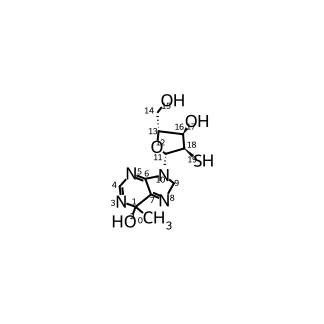 CC1(O)N=CN=C2C1=NCN2[C@@H]1O[C@H](CO)[C@@H](O)[C@H]1S